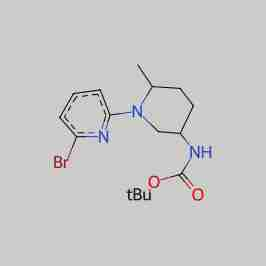 CC1CCC(NC(=O)OC(C)(C)C)CN1c1cccc(Br)n1